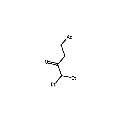 CCC(CC)C(=O)CCC(C)=O